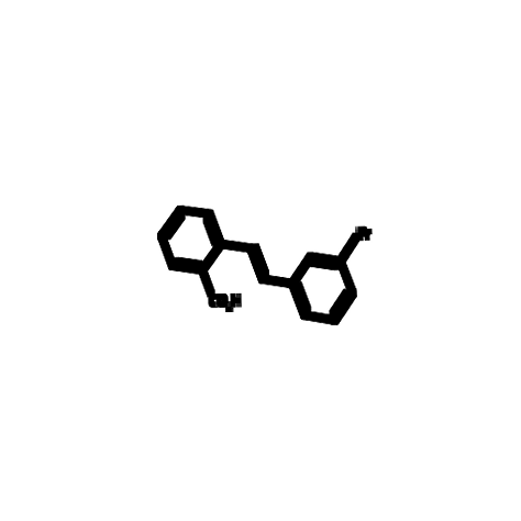 CC(C)c1cccc(C=Cc2ccccc2C(=O)O)c1